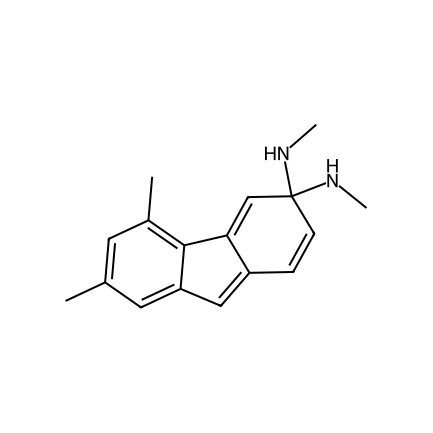 CNC1(NC)C=CC2=Cc3cc(C)cc(C)c3C2=C1